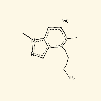 Cc1ccc2c(cnn2C)c1CCN.Cl